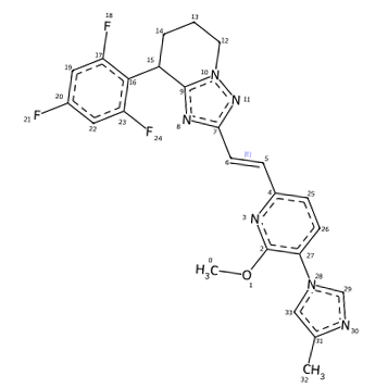 COc1nc(/C=C/c2nc3n(n2)CCCC3c2c(F)cc(F)cc2F)ccc1-n1cnc(C)c1